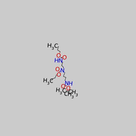 CCCCOC(=O)NCCCN(CCCCNC(=O)OC(C)(C)C)C(=O)OCCCC